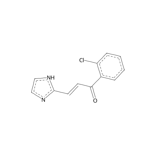 O=C(C=Cc1ncc[nH]1)c1ccccc1Cl